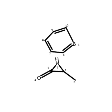 CC1NC1=O.b1ccccc1